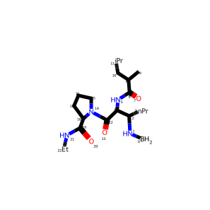 BNC(CCC)C(NC(=O)C(C)CC(C)C)C(=O)N1CCCC1C(=O)NCC